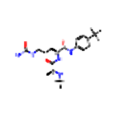 C[C@H](NC(C)(C)C)C(=O)N[C@@H](CCCNC(N)=O)C(=O)Nc1ccc(C(C)(C)C)cc1